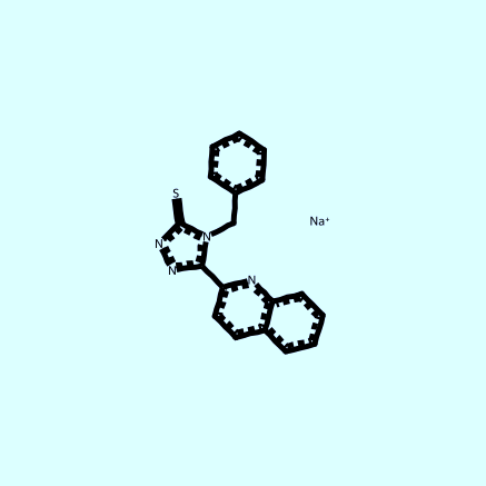 S=c1[n-]nc(-c2ccc3ccccc3n2)n1Cc1ccccc1.[Na+]